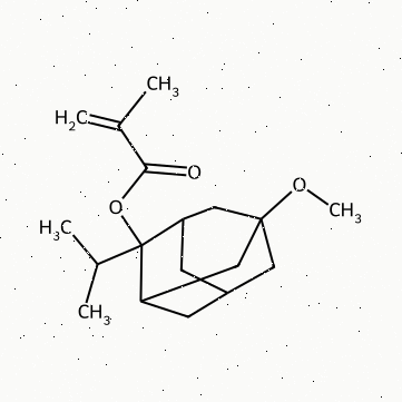 C=C(C)C(=O)OC1(C(C)C)C2CC3CC1CC(OC)(C3)C2